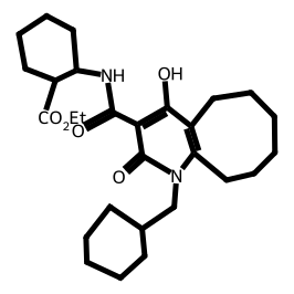 CCOC(=O)C1CCCCC1NC(=O)c1c(O)c2c(n(CC3CCCCC3)c1=O)CCCCCC2